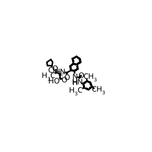 Cc1cc(C)c(NC(=O)Nc2cc3ccccc3cc2C(=O)N[C@H](C(=O)O)C(C)OC2(C)CCCC2)c(C)c1